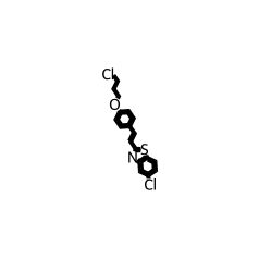 ClCCCOc1ccc(C=Cc2nc3cc(Cl)ccc3s2)cc1